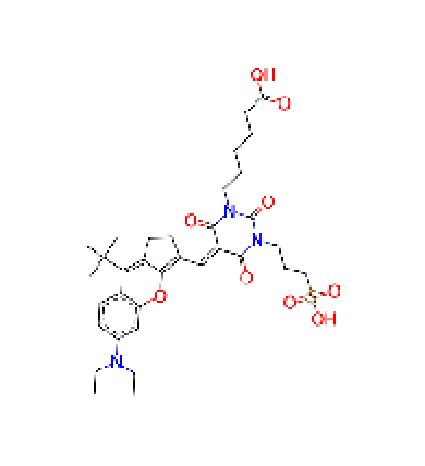 CCN(CC)c1ccc2c(c1)OC1=C(/C=C3\C(=O)N(CCCCCC(=O)O)C(=O)N(CCCS(=O)(=O)O)C3=O)CCC1=C2C(C)(C)C